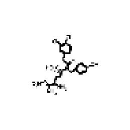 NC(=N[N+](=O)[O-])C(N)CC[C@@H](C(=O)O)N(Cc1ccc(O)cc1)C(=O)Cc1ccc(Cl)c(Cl)c1